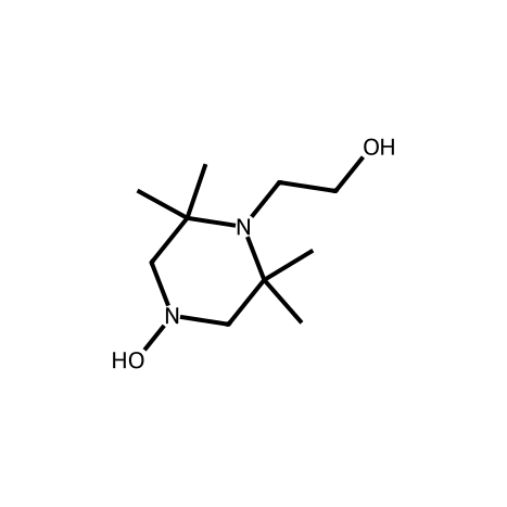 CC1(C)CN(O)CC(C)(C)N1CCO